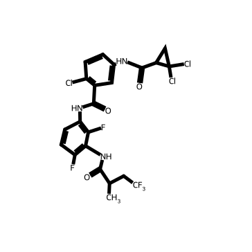 CC(CC(F)(F)F)C(=O)Nc1c(F)ccc(NC(=O)c2cc(NC(=O)C3CC3(Cl)Cl)ccc2Cl)c1F